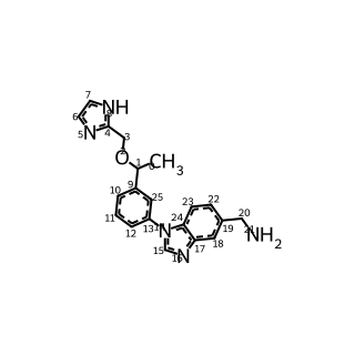 CC(OCc1ncc[nH]1)c1cccc(-n2cnc3cc(CN)ccc32)c1